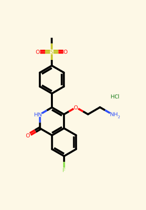 CS(=O)(=O)c1ccc(-c2[nH]c(=O)c3cc(F)ccc3c2OCCN)cc1.Cl